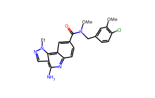 CCn1ncc2c(N)nc3ccc(C(=O)N(Cc4ccc(Cl)c(OC)c4)OC)cc3c21